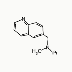 CC(C)N(C)Cc1ccc2ncccc2c1